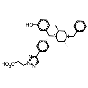 C[C@@H]1CN([C@H](c2ccc(-c3cnn(CCC(=O)O)n3)cc2)c2cccc(O)c2)[C@@H](C)CN1Cc1ccccc1